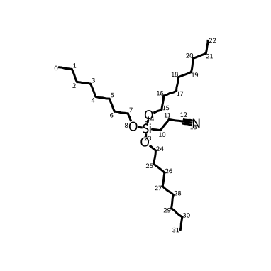 CCCCCCCCO[Si](CCC#N)(OCCCCCCCC)OCCCCCCCC